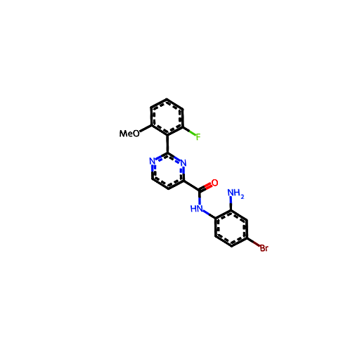 COc1cccc(F)c1-c1nccc(C(=O)Nc2ccc(Br)cc2N)n1